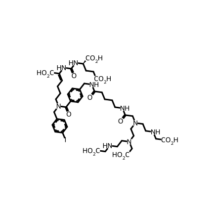 O=C(O)CC[C@@H](NC(=O)N/C(=C/CCCN(Cc1ccc(I)cc1)C(=O)c1ccc(CNC(=O)CCCCNC(=O)CN(CCNCC(=O)O)CCN(CCNCC(=O)O)CC(=O)O)cc1)C(=O)O)C(=O)O